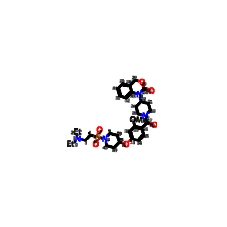 CCN(CC)CCS(=O)(=O)N1CCC(Oc2ccc(C(=O)N3CCC(N4C(=O)OCc5ccccc54)CC3)c(OC)c2)CC1